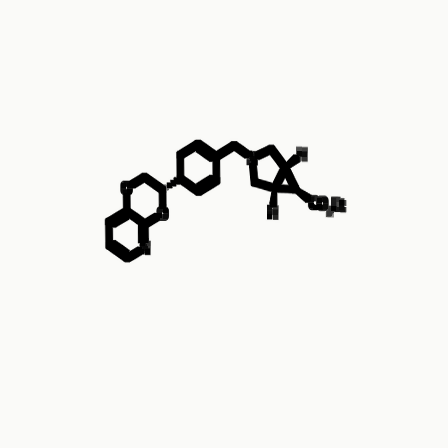 CCOC(=O)[C@H]1[C@@H]2CN(CC3=CCC([C@H]4COc5cccnc5O4)C=C3)C[C@@H]21